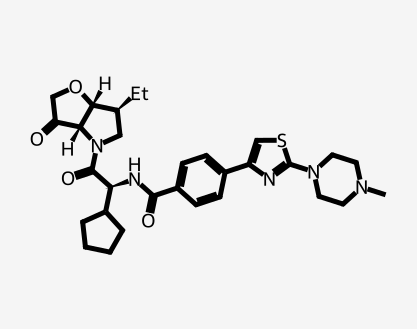 CC[C@H]1CN(C(=O)[C@@H](NC(=O)c2ccc(-c3csc(N4CCN(C)CC4)n3)cc2)C2CCCC2)[C@@H]2C(=O)CO[C@H]12